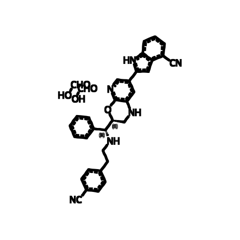 N#Cc1ccc(CCN[C@H](c2ccccc2)[C@@H]2CNc3cc(-c4cc5c(C#N)cccc5[nH]4)cnc3O2)cc1.O=CO.O=CO